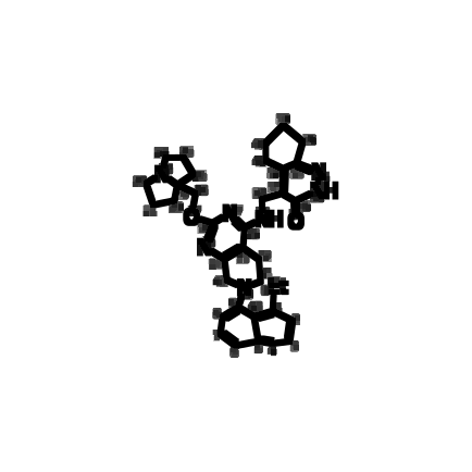 CCc1cccc2cccc(N3CCc4c(nc(OCC56CCCN5CCC6)nc4NCc4c5c(n[nH]c4=O)CCCC5)C3)c12